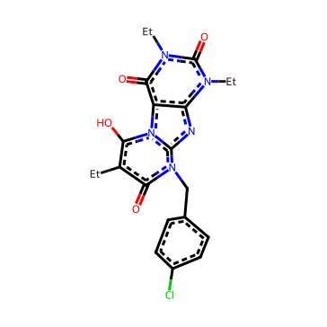 CCc1c(O)n2c3c(=O)n(CC)c(=O)n(CC)c3nc2n(Cc2ccc(Cl)cc2)c1=O